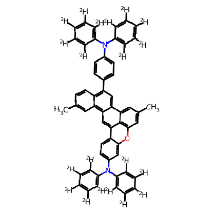 [2H]c1c([2H])c([2H])c(N(c2ccc(-c3cc4c5cc(C)cc6c5c(cc4c4cc(C)ccc34)-c3ccc(N(c4c([2H])c([2H])c([2H])c([2H])c4[2H])c4c([2H])c([2H])c([2H])c([2H])c4[2H])cc3O6)cc2)c2c([2H])c([2H])c([2H])c([2H])c2[2H])c([2H])c1[2H]